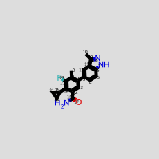 Cc1c(-c2ccc3[nH]nc(C)c3c2)cc(C(N)=O)c(C2CC2)c1F